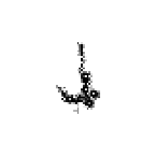 CCCCCCCCCCOc1ccc2nc(-c3ccc(C(=C(c4ccccc4)c4ccccc4)c4ccc(Nc5ccc(OCCCC)cc5)cc4)cc3)sc2c1